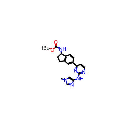 Cn1cnc(Nc2nccc(-c3ccc4c(c3)CCC4NC(=O)OC(C)(C)C)n2)c1